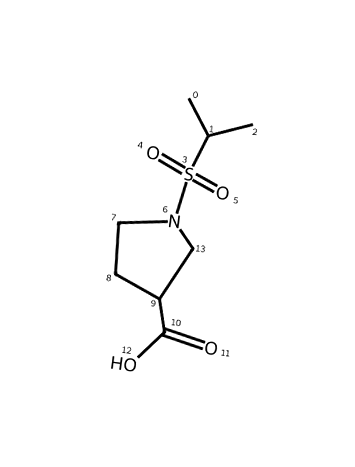 CC(C)S(=O)(=O)N1CCC(C(=O)O)C1